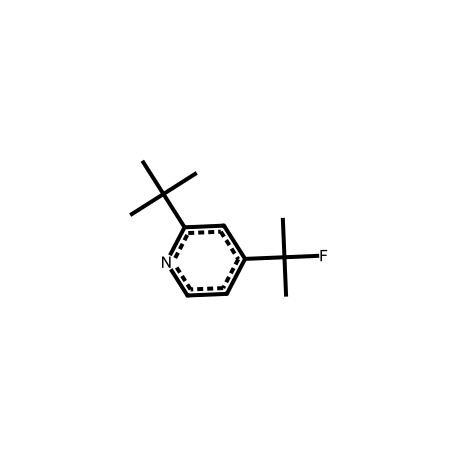 CC(C)(C)c1cc(C(C)(C)F)ccn1